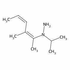 C/C=C\C(C)=C(\C)N(N)C(C)C